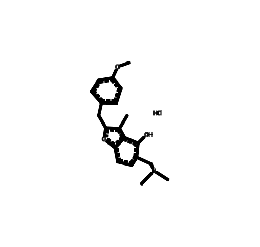 COc1ccc(Cc2oc3ccc(CN(C)C)c(O)c3c2C)cc1.Cl